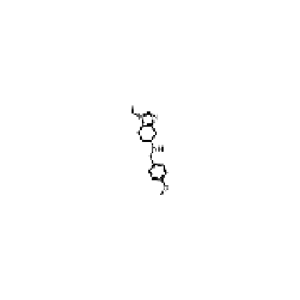 CCn1cnc2c1CCC(NCc1ccc(OC)cc1)C2